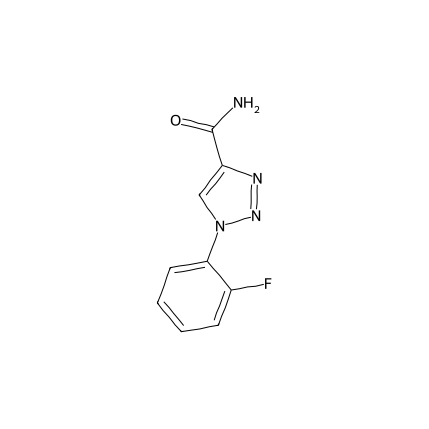 NC(=O)c1cn(-c2ccccc2F)nn1